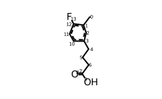 Cc1cc(CCCC(=O)O)ccc1F